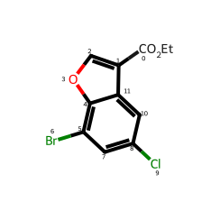 CCOC(=O)c1coc2c(Br)cc(Cl)cc12